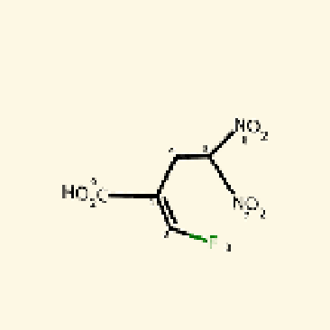 O=C(O)C(=CF)CC([N+](=O)[O-])[N+](=O)[O-]